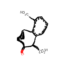 O=C(O)c1cccc2c1C=CC(=O)C2C(=O)O